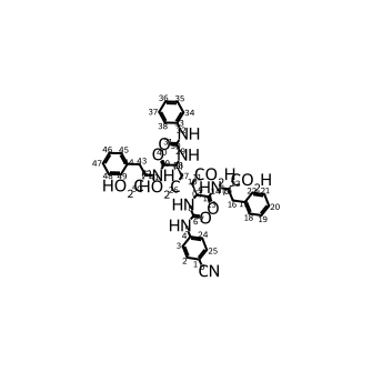 N#Cc1ccc(NC(=O)N[C@@H](CC(=O)O)C(=O)N[C@@H](Cc2ccccc2)C(=O)O)cc1.O=C(O)C[C@H](NC(=O)Nc1ccccc1)C(=O)N[C@@H](Cc1ccccc1)C(=O)O